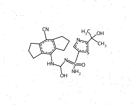 CC(C)(O)c1ncc(S(N)(=O)=NC(O)Nc2c3c(c(C#N)c4c2CCC4)CCC3)s1